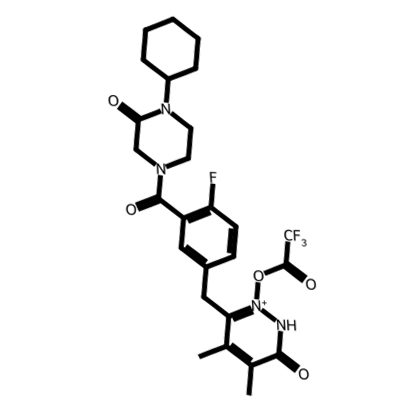 Cc1c(C)c(=O)[nH][n+](OC(=O)C(F)(F)F)c1Cc1ccc(F)c(C(=O)N2CCN(C3CCCCC3)C(=O)C2)c1